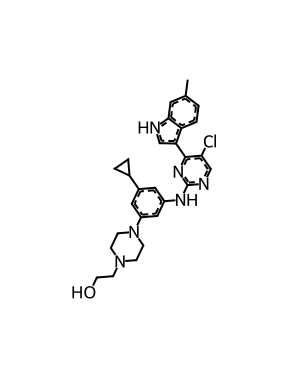 Cc1ccc2c(-c3nc(Nc4cc(C5CC5)cc(N5CCN(CCO)CC5)c4)ncc3Cl)c[nH]c2c1